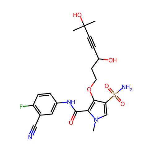 Cn1cc(S(N)(=O)=O)c(OCCC(O)C#CC(C)(C)O)c1C(=O)Nc1ccc(F)c(C#N)c1